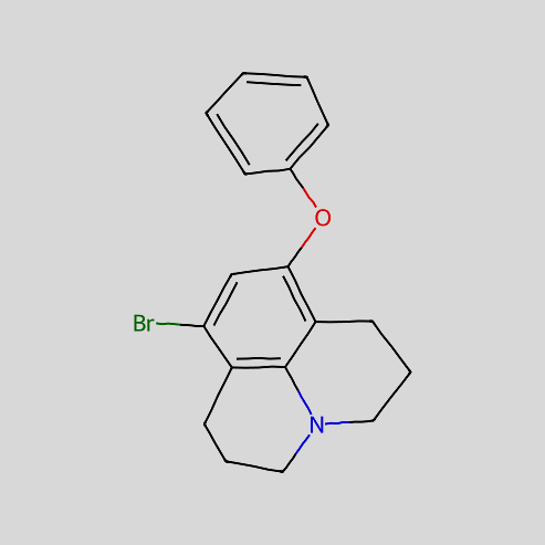 Brc1cc(Oc2ccccc2)c2c3c1CCCN3CCC2